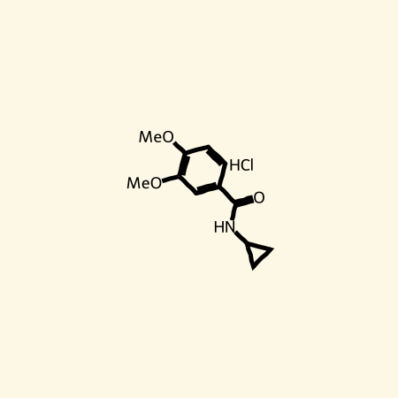 COc1ccc(C(=O)NC2CC2)cc1OC.Cl